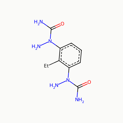 CCc1c(N(N)C(N)=O)cccc1N(N)C(N)=O